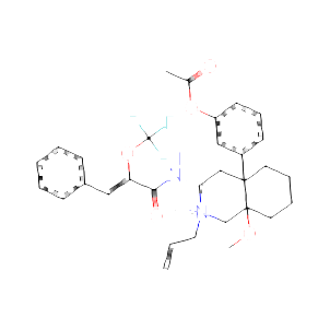 C=CC[N@+]1(C)CC2(OC)CCCCC2(c2cccc(OC(C)=O)c2)C[C@H]1NC(=O)C(=Cc1ccccc1)OC(F)(F)F